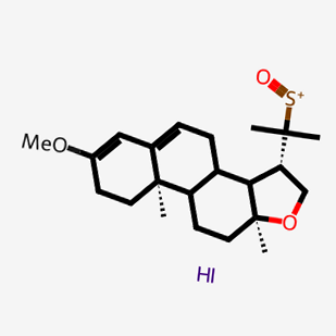 COC1=CC2=CCC3C(CC[C@]4(C)OC[C@@H](C(C)(C)[S+]=O)C34)[C@@]2(C)CC1.I